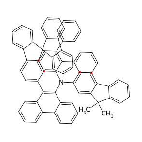 CC1(C)c2ccccc2-c2ccc(N(c3cccc(-c4ccccc4)c3-c3ccccc3)c3c(-c4ccc5c(c4)C4(c6ccccc6-c6ccccc64)c4ccccc4-5)c4ccccc4c4ccccc34)cc21